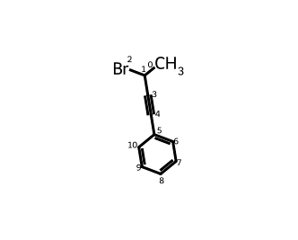 CC(Br)C#Cc1ccccc1